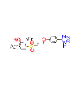 CCCc1c(S(=O)(=O)CCCOc2ccc(-c3nnn[nH]3)cc2)ccc(C(C)=O)c1O